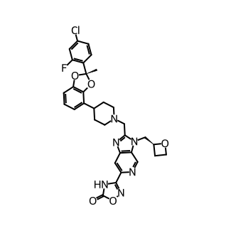 C[C@]1(c2ccc(Cl)cc2F)Oc2cccc(C3CCN(Cc4nc5cc(-c6noc(=O)[nH]6)ncc5n4C[C@@H]4CCO4)CC3)c2O1